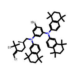 CC/C=C(\CC[C@@H](C)CN(c1cc(N(c2ccc3c(c2)C(C)(C)CCC3(C)C)c2ccc3c(c2)C(C)(C)CCC3(C)C)cc(C(C)(C)C)c1)c1ccc2c(c1)C(C)(C)CCC2(C)C)C(C)(C)CC